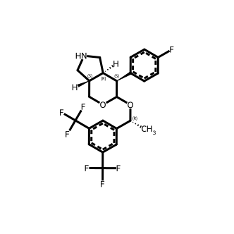 C[C@@H](OC1OC[C@@H]2CNC[C@H]2[C@H]1c1ccc(F)cc1)c1cc(C(F)(F)F)cc(C(F)(F)F)c1